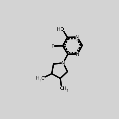 CC1CN(c2ncnc(O)c2F)CC1C